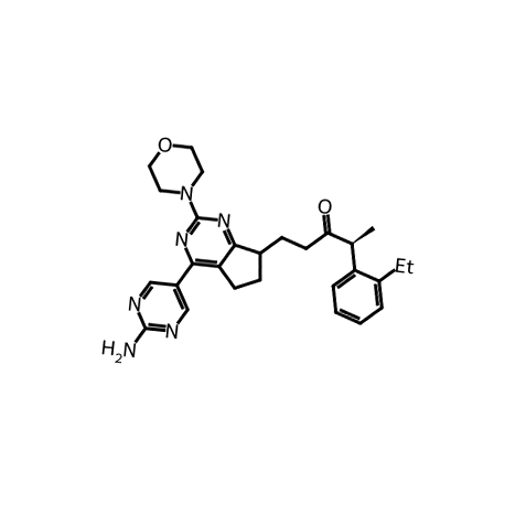 CCc1ccccc1[C@H](C)C(=O)CCC1CCc2c(-c3cnc(N)nc3)nc(N3CCOCC3)nc21